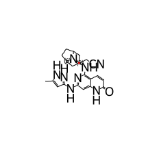 Cc1cc(Nc2cc3[nH]c(=O)ccc3c(N[C@@H]3CC4CC[C@@H](C3)N4CCC#N)n2)n[nH]1